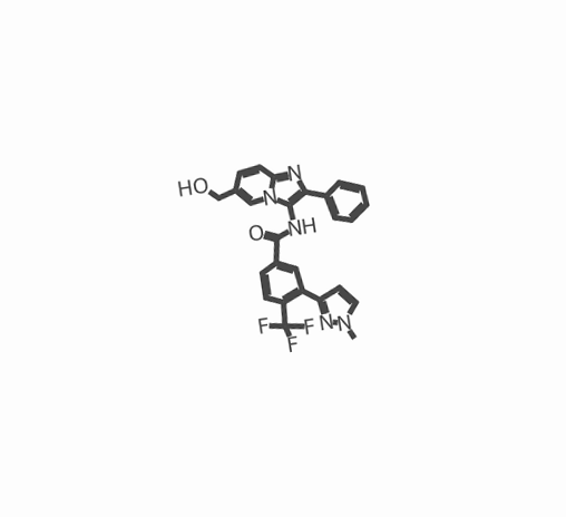 Cn1ccc(-c2cc(C(=O)Nc3c(-c4ccccc4)nc4ccc(CO)cn34)ccc2C(F)(F)F)n1